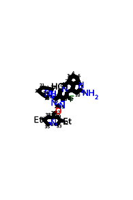 C#Cc1cccc2nc(N)cc(-c3ncc4c(N5CC6CCC(C5)N6)nc(OCC56CC(CC)CN5CC(CC)C6)nc4c3F)c12